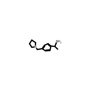 CC(N)c1ccc(CN2CCCC2)cc1